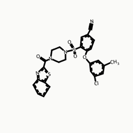 Cc1cc(Cl)cc(Oc2ccc(C#N)cc2S(=O)(=O)N2CCN(C(=O)c3nc4ccccc4s3)CC2)c1